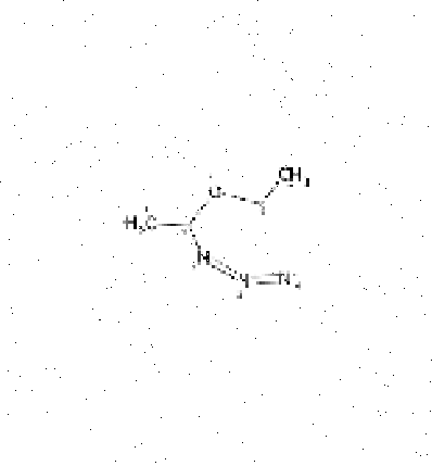 [CH2]C(N=[N+]=[N-])OCC